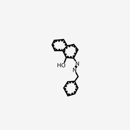 Oc1c(N=NCc2ccccc2)ccc2ccccc12